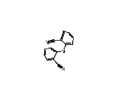 N#Cc1ccccc1[N]c1ccccc1C#N